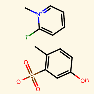 C[n+]1ccccc1F.Cc1ccc(O)cc1S(=O)(=O)[O-]